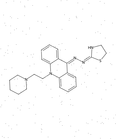 c1ccc2c(c1)c(=NN=C1NCCS1)c1ccccc1n2CCN1CCCCC1